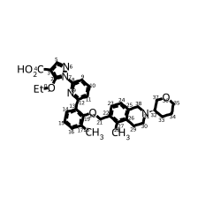 CCOc1c(C(=O)O)cnn1-c1cccc(-c2cccc(C)c2OCc2ccc3c(c2C)CCN([C@H]2CCCOC2)C3)n1